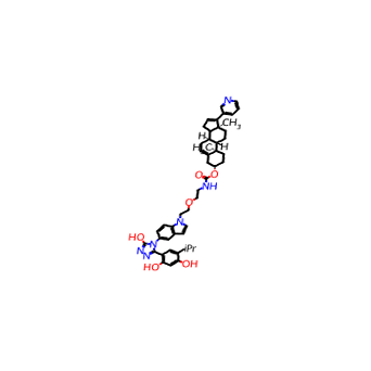 CC(C)c1cc(-c2nnc(O)n2-c2ccc3c(ccn3CCOCCNC(=O)O[C@H]3CC[C@@]4(C)C(=CC[C@H]5C6CC=C(c7cccnc7)[C@@]6(C)CC[C@@H]54)C3)c2)c(O)cc1O